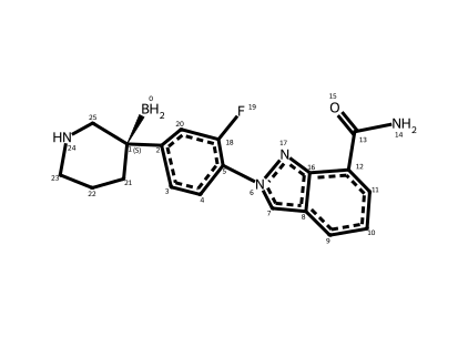 B[C@@]1(c2ccc(-n3cc4cccc(C(N)=O)c4n3)c(F)c2)CCCNC1